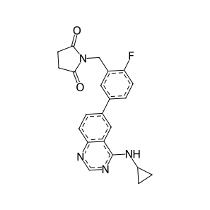 O=C1CCC(=O)N1Cc1cc(-c2ccc3ncnc(NC4CC4)c3c2)ccc1F